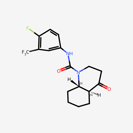 O=C1CCN(C(=O)Nc2ccc(F)c(C(F)(F)F)c2)[C@H]2CCCC[C@H]12